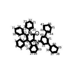 O=c1c2c(c(-c3ccccc3)c(-c3ccccc3)n1-c1ccccc1)c1ccccc1n2-c1cc(-c2ccccc2)cc(-c2ccccc2)c1